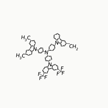 C=Cc1ccc2c(c1)c1ccccc1n2-c1ccc(N(c2ccc(-n3c4ccc(C)cc4c4cc(C)ccc43)cc2)c2ccc(-n3c4ccc(C(F)(F)F)cc4c4cc(C(F)(F)F)ccc43)cc2)cc1